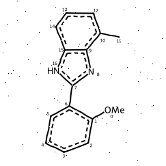 COc1ccccc1-c1nc2c(C)cccc2[nH]1